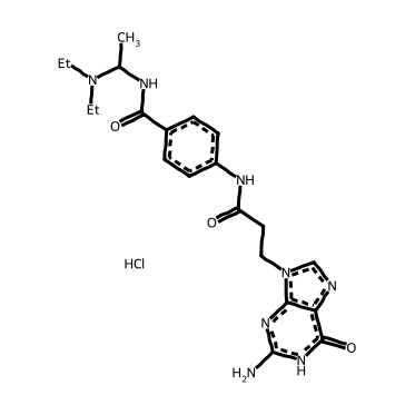 CCN(CC)C(C)NC(=O)c1ccc(NC(=O)CCn2cnc3c(=O)[nH]c(N)nc32)cc1.Cl